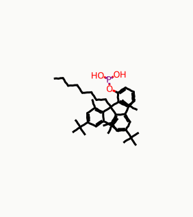 CCCCCCCCC(c1ccccc1OP(O)O)(c1c(C)cc(C(C)(C)C)cc1C(C)(C)C)c1c(C)cc(C(C)(C)C)cc1C(C)(C)C